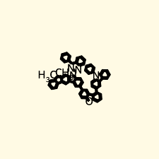 CC1(C)c2ccccc2-c2cc3c4cc(-c5ccc6oc7cccc(-c8ccc9c(c8)c8ccccc8n9-c8ccccc8)c7c6c5)ccc4n(-c4nc(-c5ccccc5)c5ccccc5n4)c3cc21